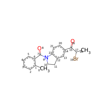 Cc1ccccc1C(=O)N1CCc2cc(C(=O)C(C)Br)ccc21